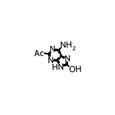 CC(=O)c1nc(N)c2nc(O)[nH]c2n1